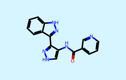 O=C(Nc1c[nH]nc1-c1n[nH]c2ccccc12)c1cccnc1